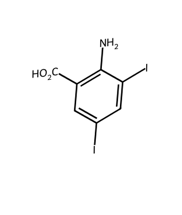 Nc1c(I)cc(I)cc1C(=O)O